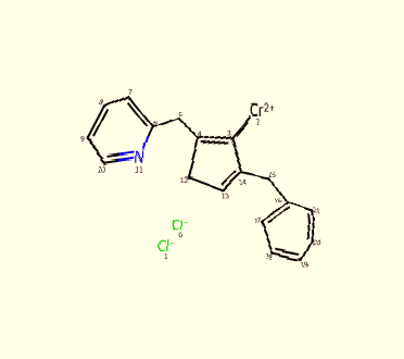 [Cl-].[Cl-].[Cr+2][C]1=C(Cc2ccccn2)CC=C1Cc1ccccc1